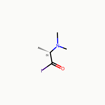 C[C@@H](C(=O)I)N(C)C